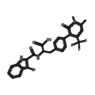 Cc1cc(C(F)(F)F)c(-c2ccc(CC(NC(=O)c3[nH]c4ccccc4c3Br)C(=O)O)cc2)c(=O)n1C